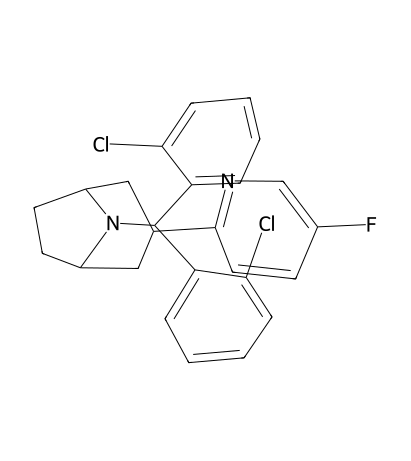 Fc1ccc(C2CC3CCC(C2)N3C(c2ccccc2Cl)c2ccccc2Cl)nc1